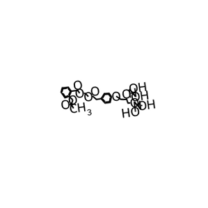 CC(=O)Oc1ccccc1C(=O)OCOC(=O)Cc1ccc(OCC(CON(O)O)ON(O)O)cc1